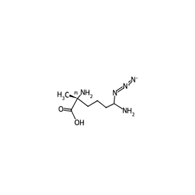 C[C@@](N)(CCCC(N)N=[N+]=[N-])C(=O)O